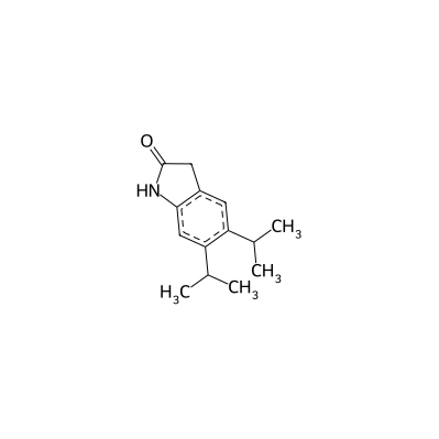 CC(C)c1cc2c(cc1C(C)C)NC(=O)C2